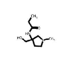 CCC(=O)NC1(CO)CCN(C)C1